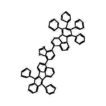 c1ccc(-c2c(-c3ccccc3)c(-c3ccccc3)c3c(c2-c2ccccc2)-c2cccc4c(-c5ccc(-c6ccc7c8c(cccc68)-c6c-7c(-c7ccccc7)c7ccccc7c6-c6ccccc6)c6scnc56)ccc-3c24)cc1